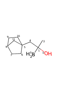 BC(C)(O)CC12CCC(CC1)C2